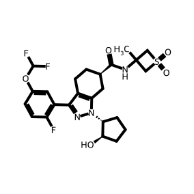 CC1(NC(=O)[C@@H]2CCc3c(-c4cc(OC(F)F)ccc4F)nn([C@@H]4CCC[C@H]4O)c3C2)CS(=O)(=O)C1